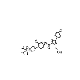 COc1cc(NC(=O)c2sc(-c3ccc(Cl)cc3)nc2CCO)ccc1N1CC[C@@H](O[Si](C(C)C)(C(C)C)C(C)C)C1